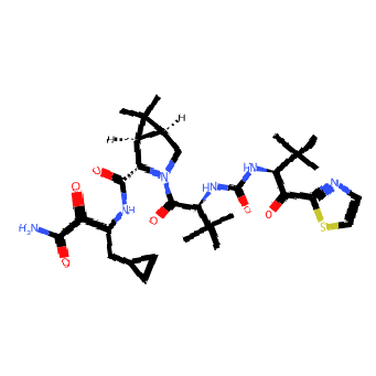 CC(C)(C)[C@H](NC(=O)N[C@H](C(=O)N1C[C@H]2[C@@H]([C@H]1C(=O)NC(CC1CC1)C(=O)C(N)=O)C2(C)C)C(C)(C)C)C(=O)c1nccs1